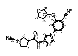 N#Cc1ccc(-n2cnc(NC(=O)C3CCN(C#N)C3)c2)cc1O[C@H]1CCOC1